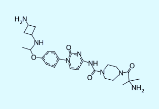 CC(NC1CC(N)C1)Oc1ccc(-n2ccc(NC(=O)N3CCN(C(=O)C(C)(C)N)CC3)nc2=O)cc1